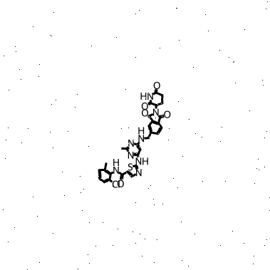 Cc1nc(NCc2ccc3c(c2)C(=O)N(C2CCC(=O)NC2=O)C3=O)cc(Nc2ncc(C(=O)Nc3c(C)cccc3Cl)s2)n1